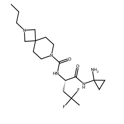 CCCN1CC2(CCN(C(=O)N[C@@H](CC(C)(F)F)C(=O)NC3(N)CC3)CC2)C1